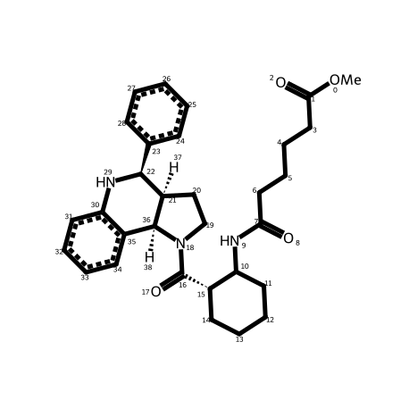 COC(=O)CCCCC(=O)NC1CCCC[C@@H]1C(=O)N1CC[C@@H]2[C@H](c3ccccc3)Nc3ccccc3[C@@H]21